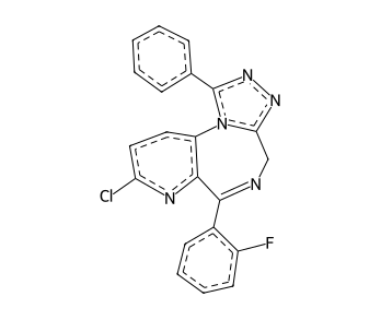 Fc1ccccc1C1=NCc2nnc(-c3ccccc3)n2-c2ccc(Cl)nc21